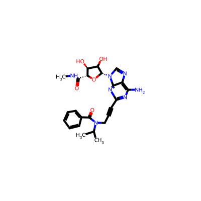 CNC(=O)[C@H]1O[C@@H](n2cnc3c(N)nc(C#CCN(C(=O)c4ccccc4)C(C)C)nc32)C(O)[C@@H]1O